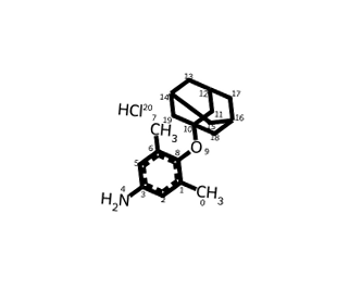 Cc1cc(N)cc(C)c1OC12CC3CC(CC(C3)C1)C2.Cl